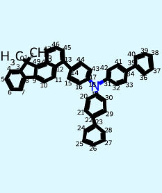 CC1(C)c2ccccc2-c2ccc3c(-c4ccc(N(c5ccc(-c6ccccc6)cc5)c5ccc(-c6ccccc6)cc5)cc4)cccc3c21